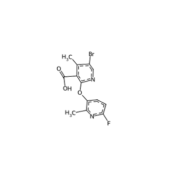 Cc1nc(F)ccc1Oc1ncc(Br)c(C)c1C(=O)O